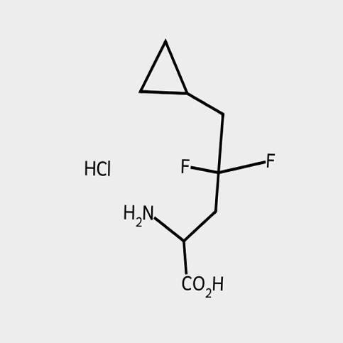 Cl.NC(CC(F)(F)CC1CC1)C(=O)O